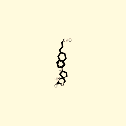 O=CCCCC1CCc2cc([C@H]3CC[C@]4(COC(=O)N4)C3)ccc2C1